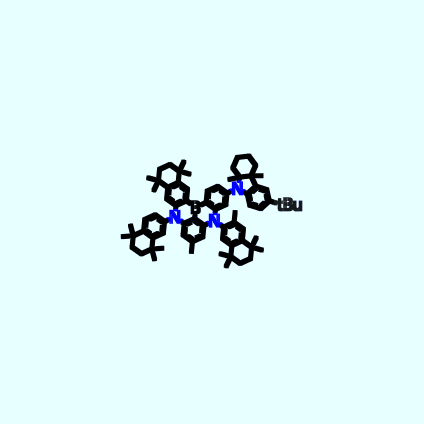 Cc1cc2c3c(c1)N(c1cc4c(cc1C)C(C)(C)CCC4(C)C)c1cc(N4c5ccc(C(C)(C)C)cc5C5(C)CCCCC45C)ccc1B3c1cc3c(cc1N2c1ccc2c(c1)C(C)(C)CCC2(C)C)C(C)(C)CCC3(C)C